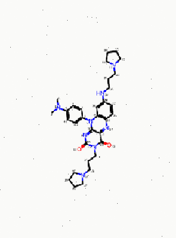 CN(C)c1ccc(-n2c3nc(=O)n(CCCN4CCCC4)c(=O)c-3nc3ccc(NCCCN4CCCC4)cc32)cc1